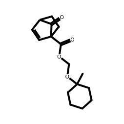 CC1(OCOC(=O)C23C=CC(CC2)C3=O)CCCCC1